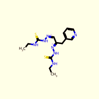 CCNC(=S)N/N=C\C(Cc1cccnc1)=N\NC(=S)NCC